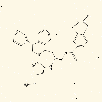 NCCC[C@@H]1N[C@H](CNC(=O)c2ccc3cc(F)ccc3c2)CCN(CC(c2ccccc2)c2ccccc2)C1=O